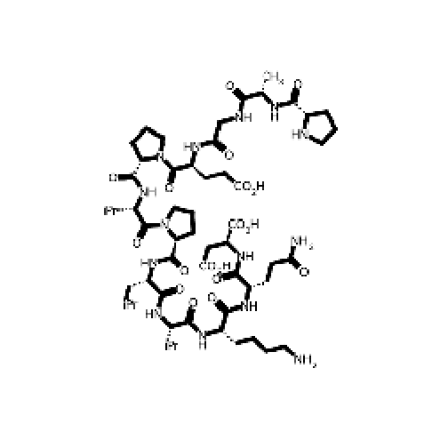 CC(C)C[C@H](NC(=O)[C@@H]1CCCN1C(=O)[C@@H](NC(=O)[C@@H]1CCCN1C(=O)[C@H](CCC(=O)O)NC(=O)CNC(=O)[C@H](C)NC(=O)[C@@H]1CCCN1)C(C)C)C(=O)N[C@H](C(=O)N[C@@H](CCCCN)C(=O)N[C@@H](CCC(N)=O)C(=O)N[C@@H](CC(=O)O)C(=O)O)C(C)C